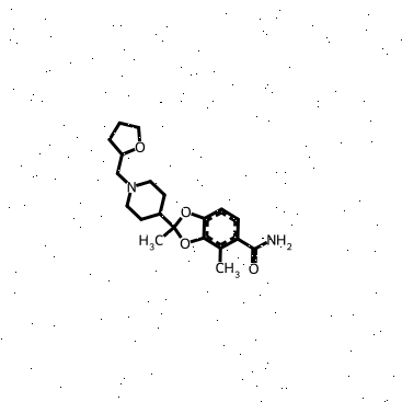 Cc1c(C(N)=O)ccc2c1OC(C)(C1CCN(CC3CCCO3)CC1)O2